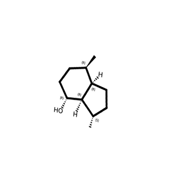 C[C@@H]1CC[C@@H](O)[C@H]2[C@@H]1CC[C@@H]2C